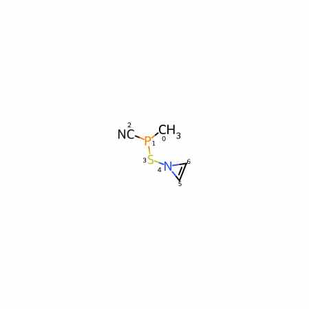 CP(C#N)SN1C=C1